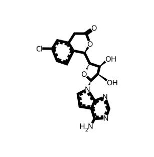 Nc1ncnc2c1ccn2[C@@H]1O[C@H]([C@@H]2OC(=O)Cc3cc(Cl)ccc32)[C@@H](O)[C@H]1O